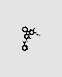 CCC(C)Oc1ccc(C2(c3ccc(OC(=O)c4ccccc4)c(C)c3)CCCCC2)cc1C